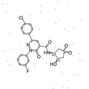 O=C(N[C@H]1CS(=O)(=O)C[C@H]1O)c1cc(-c2ccc(Cl)cc2)nn(-c2cccc(F)c2)c1=O